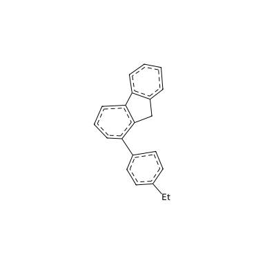 CCc1ccc(-c2cccc3c2Cc2ccccc2-3)cc1